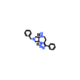 c1ccc(CN2C[C@H]3NCCc4c(-c5ccccc5)nnn4[C@H]3C2)cc1